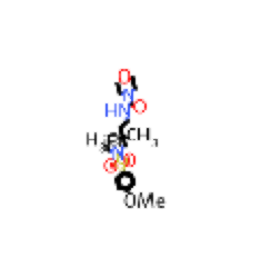 COc1ccc(S(=O)(=O)N(CC(C)C)CC(C)(C)CCNC(=O)N2CCOCC2)cc1